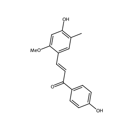 COc1cc(O)c(C)cc1/C=C/C(=O)c1ccc(O)cc1